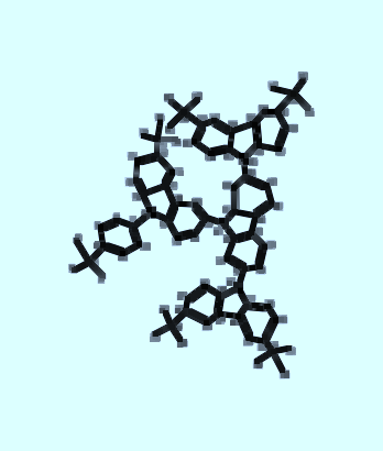 CC(C)(C)c1ccc(-n2c3ccc(-n4c5cc(-n6c7ccc(C(C)(C)C)cc7c7cc(C(C)(C)C)ccc76)ccc5c5ccc(-n6c7ccc(C(C)(C)C)cc7c7cc(C(C)(C)C)ccc76)cc54)cc3c3cc(C(C)(C)C)ccc32)cc1